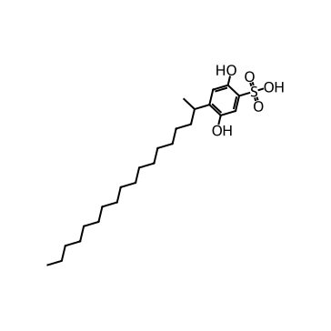 CCCCCCCCCCCCCCCCC(C)c1cc(O)c(S(=O)(=O)O)cc1O